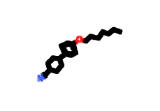 CCCCCCCOc1ccc(C2CCC(C#N)CC2)cc1